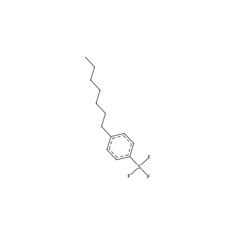 CCCCCCCc1ccc(S(F)(F)F)cc1